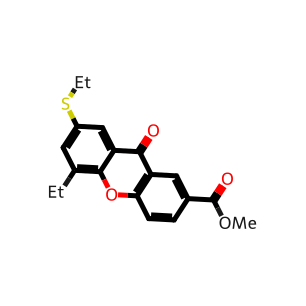 CCSc1cc(CC)c2oc3ccc(C(=O)OC)cc3c(=O)c2c1